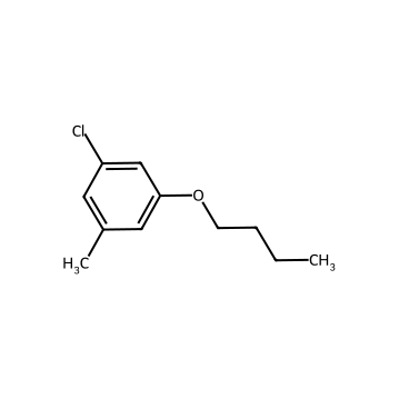 CCCCOc1cc(C)cc(Cl)c1